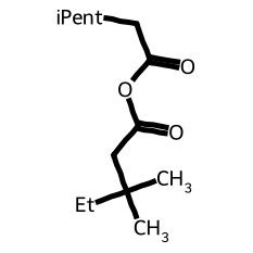 CCCC(C)CC(=O)OC(=O)CC(C)(C)CC